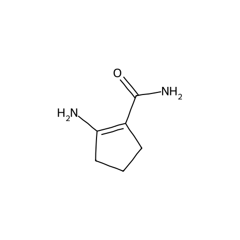 NC(=O)C1=C(N)CCC1